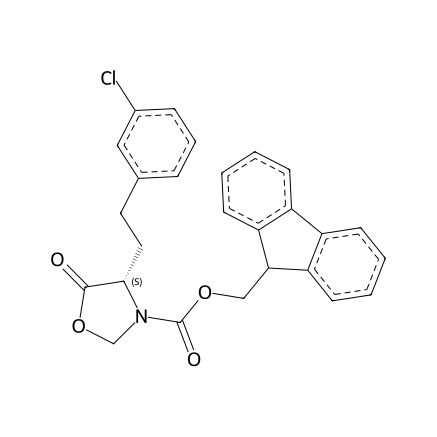 O=C1OCN(C(=O)OCC2c3ccccc3-c3ccccc32)[C@H]1CCc1cccc(Cl)c1